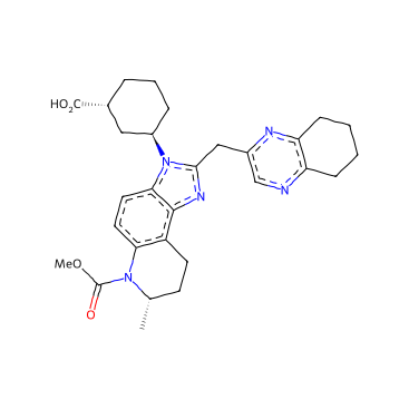 COC(=O)N1c2ccc3c(nc(Cc4cnc5c(n4)CCCC5)n3[C@@H]3CCC[C@@H](C(=O)O)C3)c2CC[C@@H]1C